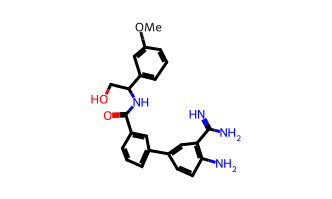 COc1cccc(C(CO)NC(=O)c2cccc(-c3ccc(N)c(C(=N)N)c3)c2)c1